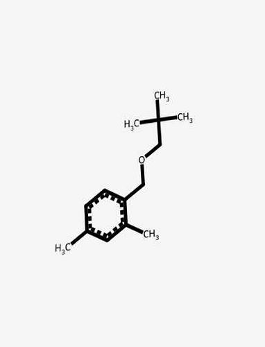 Cc1ccc(COCC(C)(C)C)c(C)c1